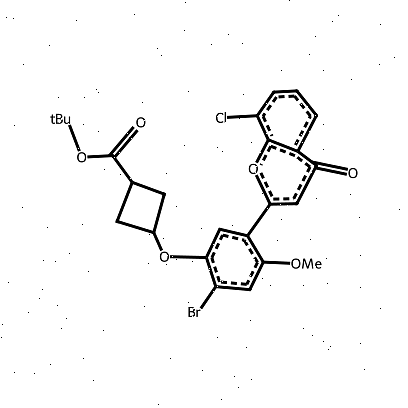 COc1cc(Br)c(OC2CC(C(=O)OC(C)(C)C)C2)cc1-c1cc(=O)c2cccc(Cl)c2o1